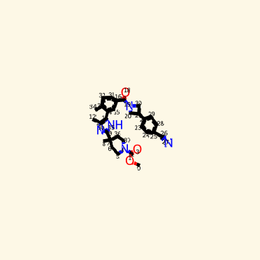 COC(=O)N1CCC(C)(c2nc(C)c(-c3cc(C(=O)N4CC(c5ccc(C#N)cc5)C4)ccc3C)[nH]2)CC1